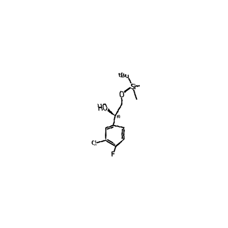 CC(C)(C)[Si](C)(C)OC[C@H](O)c1ccc(F)c(Cl)c1